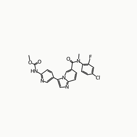 COC(=O)Nc1ccc(-c2cnc3ccc(C(=O)N(C)c4ccc(Cl)cc4F)cn23)cn1